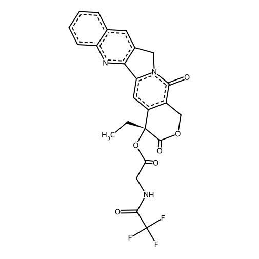 CC[C@]1(OC(=O)CNC(=O)C(F)(F)F)C(=O)OCc2c1cc1n(c2=O)Cc2cc3ccccc3nc2-1